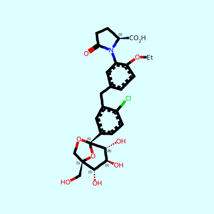 CCOc1ccc(Cc2cc([C@]34OC[C@](CO)(O3)[C@@H](O)[C@H](O)[C@H]4O)ccc2Cl)cc1N1C(=O)CC[C@H]1C(=O)O